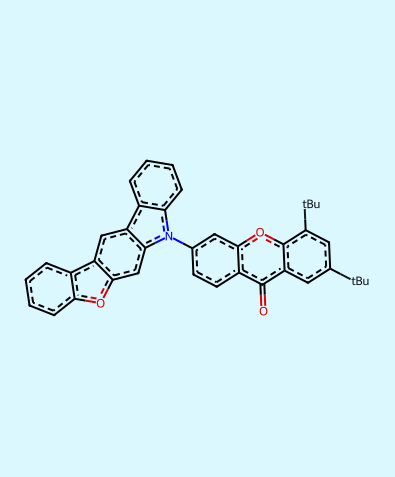 CC(C)(C)c1cc(C(C)(C)C)c2oc3cc(-n4c5ccccc5c5cc6c(cc54)oc4ccccc46)ccc3c(=O)c2c1